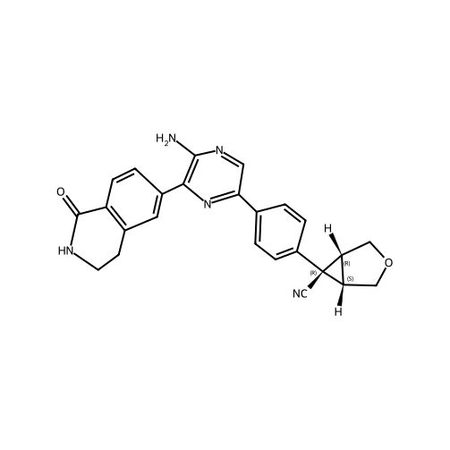 N#C[C@@]1(c2ccc(-c3cnc(N)c(-c4ccc5c(c4)CCNC5=O)n3)cc2)[C@@H]2COC[C@@H]21